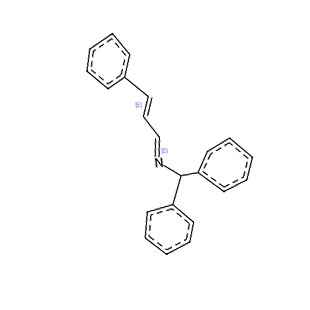 C(=C\c1ccccc1)/C=N/C(c1ccccc1)c1ccccc1